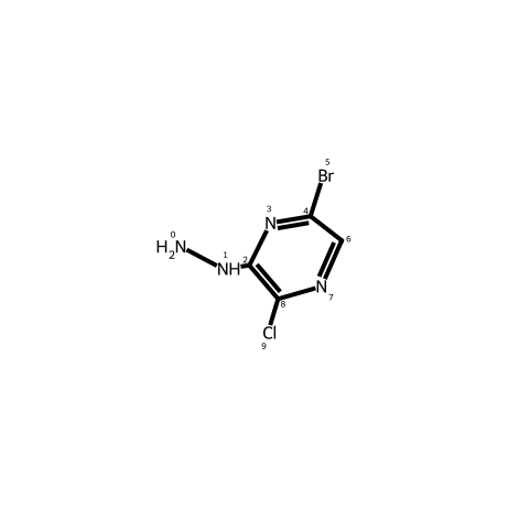 NNc1nc(Br)cnc1Cl